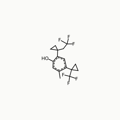 Cc1cc(O)c(C2(CC(F)(F)F)CC2)cc1C1(C(F)(F)F)CC1